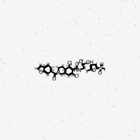 CS(=O)(=O)c1ccc(C[C@H](NC(=O)c2c(Cl)cc3c(c2Cl)CCN(C(=O)c2ccc4ccoc4c2)C3)C(=O)O)o1